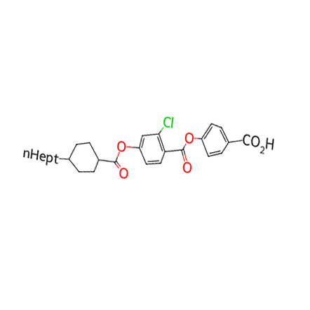 CCCCCCCC1CCC(C(=O)Oc2ccc(C(=O)Oc3ccc(C(=O)O)cc3)c(Cl)c2)CC1